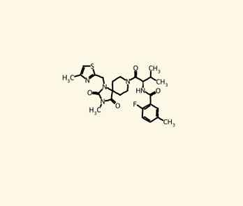 Cc1ccc(F)c(C(=O)N[C@@H](C(=O)N2CCC3(CC2)C(=O)N(C)C(=O)N3Cc2nc(C)cs2)C(C)C)c1